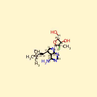 C[C@@]1(F)[C@H](O)[C@@H](CO)O[C@H]1n1cc(C#C[Si](C)(C)C)c2c(N)ncnc21